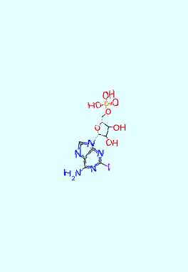 Nc1nc(I)nc2c1ncn2[C@@H]1O[C@H](COP(=O)(O)O)C(O)C1O